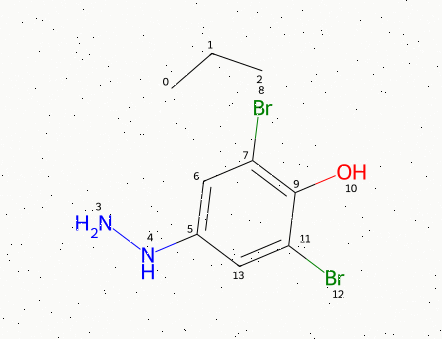 CCC.NNc1cc(Br)c(O)c(Br)c1